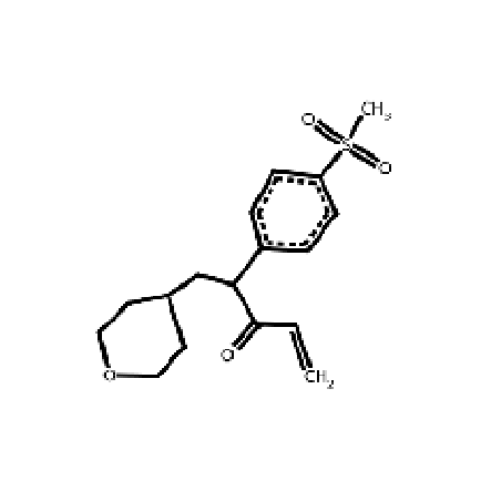 C=CC(=O)C(CC1CCOCC1)c1ccc(S(C)(=O)=O)cc1